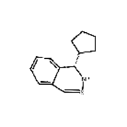 C1=NN[C@@H](C2CCCC2)c2ccccc21